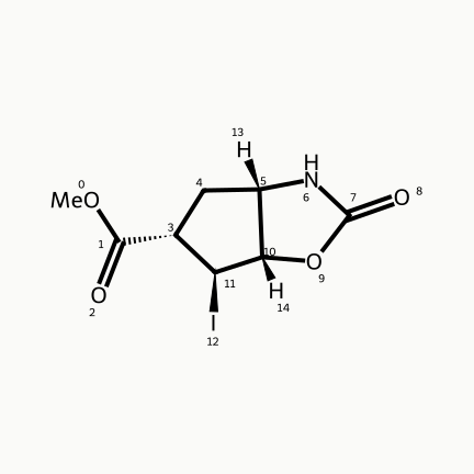 COC(=O)[C@@H]1C[C@@H]2NC(=O)O[C@@H]2[C@H]1I